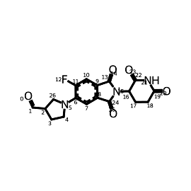 O=CC1CCN(c2cc3c(cc2F)C(=O)N(C2CCC(=O)NC2=O)C3=O)C1